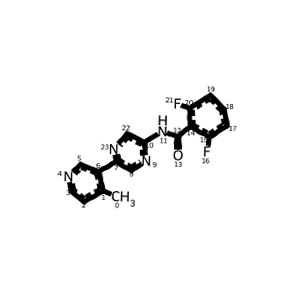 Cc1ccncc1-c1cnc(NC(=O)c2c(F)cccc2F)cn1